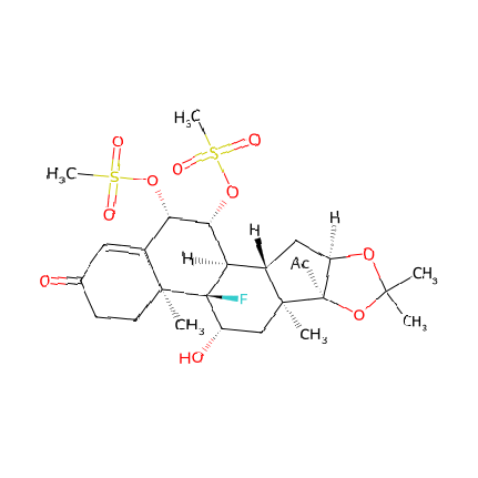 CC(=O)[C@@]12OC(C)(C)O[C@@H]1C[C@H]1[C@@H]3[C@@H](OS(C)(=O)=O)[C@@H](OS(C)(=O)=O)C4=CC(=O)CC[C@]4(C)[C@@]3(F)[C@@H](O)C[C@@]12C